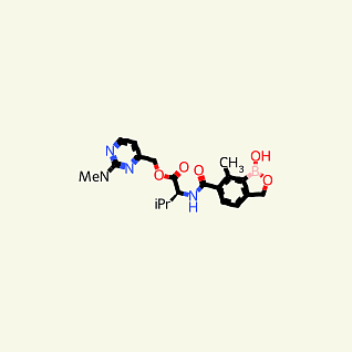 CNc1nccc(COC(=O)[C@@H](NC(=O)c2ccc3c(c2C)B(O)OC3)C(C)C)n1